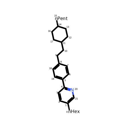 CCCCCCc1ccc(-c2ccc(CCC3CCC(CCCCC)CC3)cc2)nc1